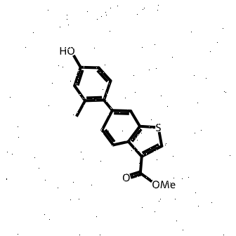 COC(=O)c1csc2cc(-c3ccc(O)cc3C)ccc12